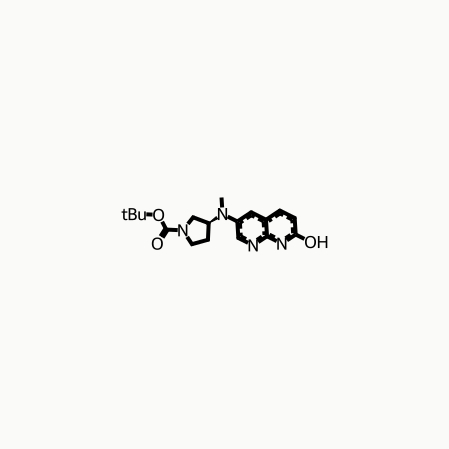 CN(c1cnc2nc(O)ccc2c1)[C@H]1CCN(C(=O)OC(C)(C)C)C1